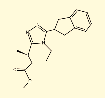 CCn1c(C2Cc3ccccc3C2)nnc1[C@H](C)CC(=O)OC